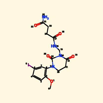 COc1ccc(I)cc1N1CCC(=O)N(CNC(=O)CCC(N)=O)C1=O